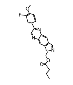 CCCC(=O)OCn1ncc2cc3nc(-c4ccc(OC)c(F)c4)cnc3cc21